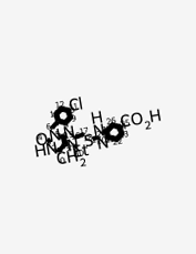 C=C1NC(=O)N(Cc2ccc(Cl)cc2)c2nc(CSc3nc4ccc(C(=O)O)cc4[nH]3)n(CC)c21